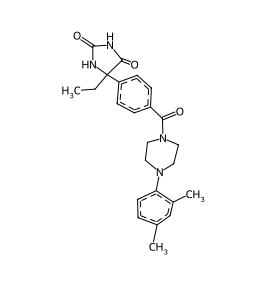 CCC1(c2ccc(C(=O)N3CCN(c4ccc(C)cc4C)CC3)cc2)NC(=O)NC1=O